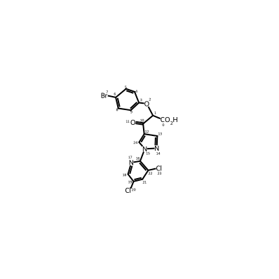 O=C(O)C(Oc1ccc(Br)cc1)C(=O)c1cnn(-c2ncc(Cl)cc2Cl)c1